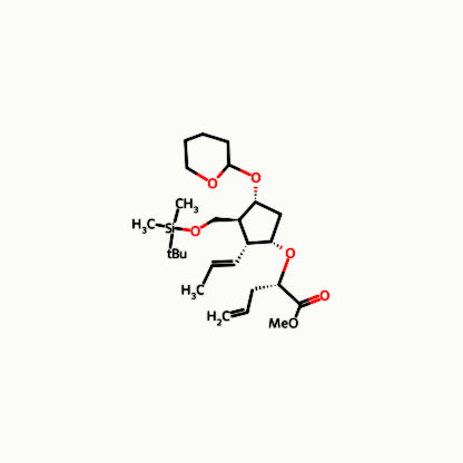 C=CC[C@H](O[C@H]1C[C@@H](OC2CCCCO2)[C@H](CO[Si](C)(C)C(C)(C)C)[C@H]1C=CC)C(=O)OC